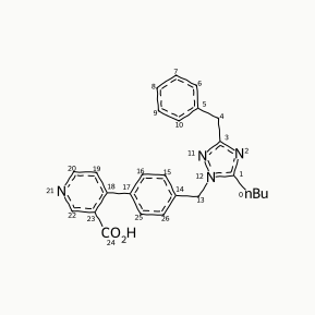 CCCCc1nc(Cc2ccccc2)nn1Cc1ccc(-c2ccncc2C(=O)O)cc1